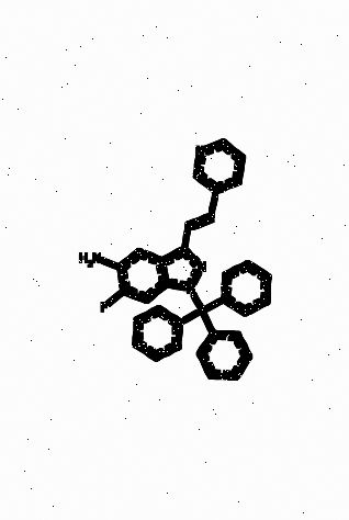 Nc1cc2c(/C=C/c3cccnc3)nn(C(c3ccccc3)(c3ccccc3)c3ccccc3)c2cc1F